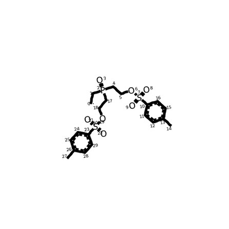 [CH2]CP(=O)(CCOS(=O)(=O)c1ccc(C)cc1)CCOS(=O)(=O)c1ccc(C)cc1